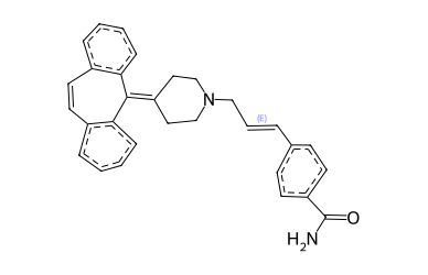 NC(=O)c1ccc(/C=C/CN2CCC(=C3c4ccccc4C=Cc4ccccc43)CC2)cc1